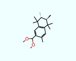 COC(OC)c1cc2c(cc1C)C(C)(C)[C@H](C)[C@@H](C)C2(C)C